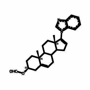 C[C@]12CC[C@H](OC=O)CC1=CCC1C2CC[C@]2(C)C(n3cnc4ccccc43)=CCC12